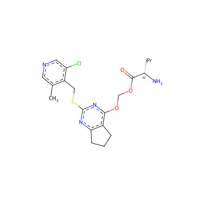 Cc1cncc(Cl)c1CSc1nc2c(c(OCOC(=O)[C@@H](N)C(C)C)n1)CCC2